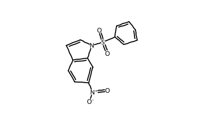 O=[N+]([O-])c1ccc2ccn(S(=O)(=O)c3ccccc3)c2c1